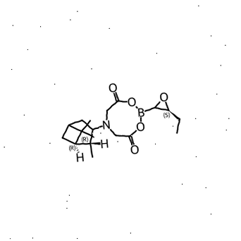 CC[C@@H]1OC1B1OC(=O)CN(C2CC3C[C@H]([C@H]2C)C3(C)C)CC(=O)O1